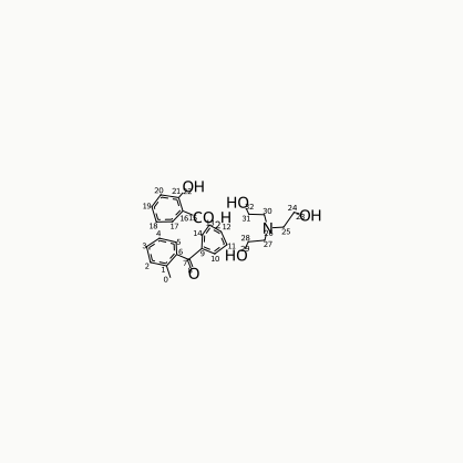 Cc1ccccc1C(=O)c1ccccc1.O=C(O)c1ccccc1O.OCCN(CCO)CCO